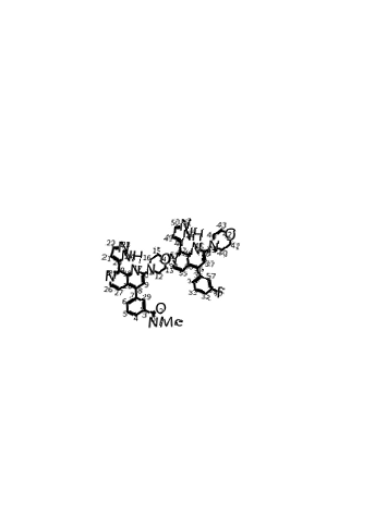 CNC(=O)c1cccc(-c2cc(N3CCOCC3)nc3c(-c4ccn[nH]4)nccc23)c1.Fc1cccc(-c2cc(N3CCOCC3)nc3c(-c4ccn[nH]4)nccc23)c1